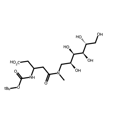 CN(C[C@H](O)[C@@H](O)[C@H](O)[C@H](O)CO)C(=O)CC(CC(=O)O)NC(=O)OC(C)(C)C